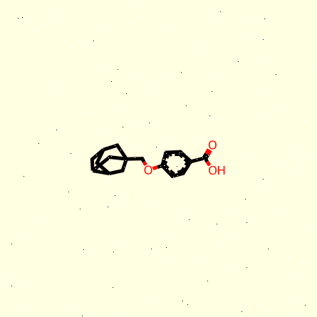 O=C(O)c1ccc(OCC23CC4CC(C2)C(C4)C3)cc1